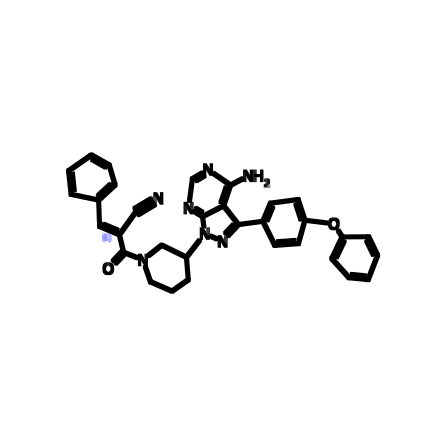 N#C/C(=C\c1ccccc1)C(=O)N1CCCC(n2nc(-c3ccc(Oc4ccccc4)cc3)c3c(N)ncnc32)C1